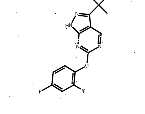 CC(C)(C)c1n[nH]c2nc(Oc3ccc(F)cc3F)ncc12